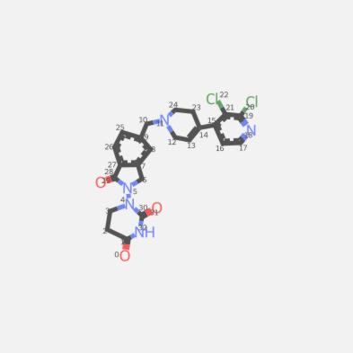 O=C1CCN(N2Cc3cc(CN4CC=C(c5ccnc(Cl)c5Cl)CC4)ccc3C2=O)C(=O)N1